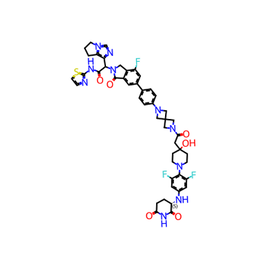 O=C1CC[C@H](Nc2cc(F)c(N3CCC(O)(CC(=O)N4CC5(C4)CN(c4ccc(-c6cc(F)c7c(c6)C(=O)N(C(C(=O)Nc6nccs6)c6ncn8c6CCC8)C7)cc4)C5)CC3)c(F)c2)C(=O)N1